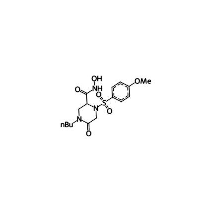 CCCCN1CC(C(=O)NO)N(S(=O)(=O)c2ccc(OC)cc2)CC1=O